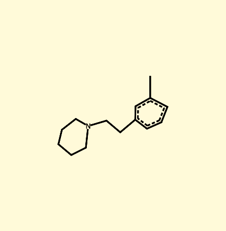 Cc1cccc(CCN2CCCCC2)c1